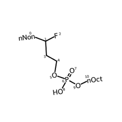 CCCCCCCCCC(F)CCOP(=O)(O)OCCCCCCCC